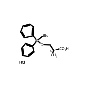 C[C@@H](CO[Si](c1ccccc1)(c1ccccc1)C(C)(C)C)C(=O)O.Cl